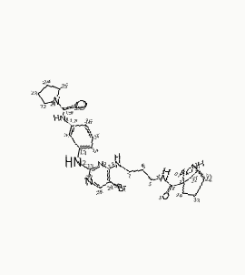 CC(=O)NC1(C(=O)NCCCNc2nc(Nc3cccc(NC(=O)N4CCCC4)c3)ncc2Br)CCCC1